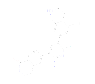 Cc1cc(-c2cc(-c3ccc4c(c3)CCNC4=O)c(N)nc2F)cc2c1CCNC2